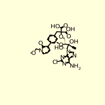 C#C[C@@](O)([C@@H](COC(Cc1ccc(-c2cccn(COC)c2=O)cc1)(C(=O)O)C(=O)O)OC)[C@@H](O)n1cnc2c(N)nc(Cl)nc21